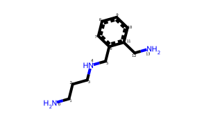 NCCCNCc1ccccc1CN